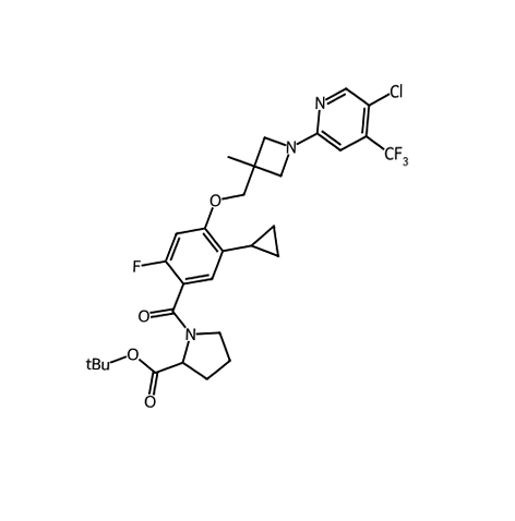 CC1(COc2cc(F)c(C(=O)N3CCCC3C(=O)OC(C)(C)C)cc2C2CC2)CN(c2cc(C(F)(F)F)c(Cl)cn2)C1